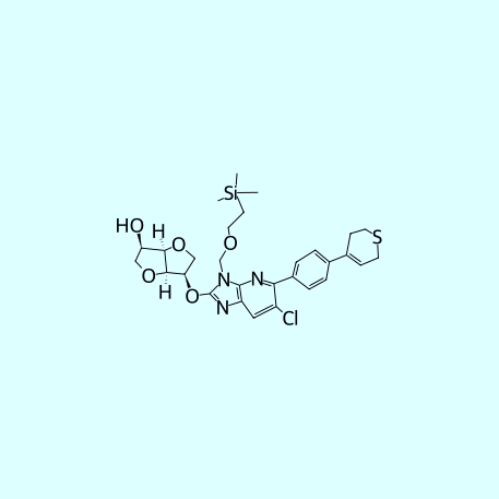 C[Si](C)(C)CCOCn1c(O[C@@H]2CO[C@H]3[C@@H]2OC[C@H]3O)nc2cc(Cl)c(-c3ccc(C4=CCSCC4)cc3)nc21